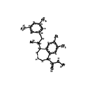 CCc1cc2c(cc1C(F)(F)F)N(C(=O)OC(C)C)CCCC2N(Cc1cc(C(F)(F)F)cc(C(F)(F)F)c1)C(C)=O